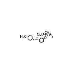 Cc1ccc(COc2cccc3c2C(=O)OC(C)(C)O3)cc1